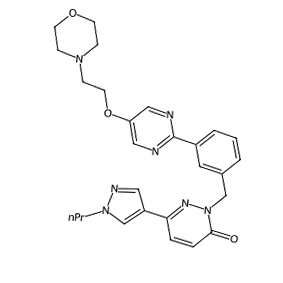 CCCn1cc(-c2ccc(=O)n(Cc3cccc(-c4ncc(OCCN5CCOCC5)cn4)c3)n2)cn1